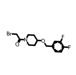 O=C(CBr)N1CCC(OCc2ccc(F)c(F)c2)CC1